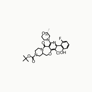 C[C@@H]1CN(c2nc(-c3c(O)cccc3F)c(Cl)c3c2C(=O)N2CCN(C(=O)OC(C)(C)C)CC2CO3)CCO1